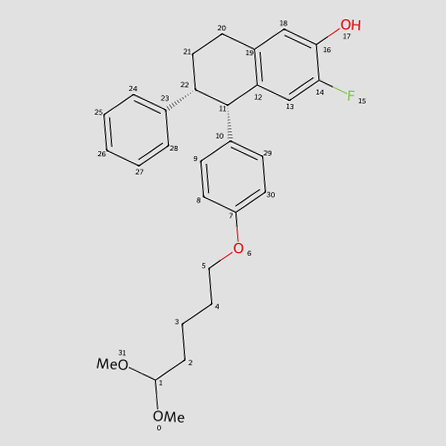 COC(CCCCOc1ccc([C@H]2c3cc(F)c(O)cc3CC[C@H]2c2ccccc2)cc1)OC